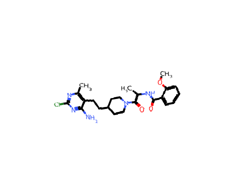 COc1ccccc1C(=O)NC(C)C(=O)N1CCC(CCc2c(C)nc(Cl)nc2N)CC1